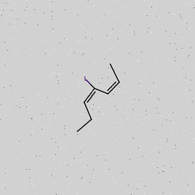 C/C=C\C(I)=C/CC